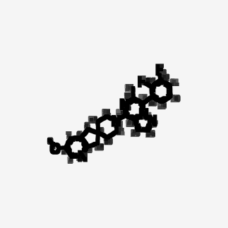 COc1cnc2c(c1)CC1(CCN(c3nc(C)c(-c4cccc(F)c4F)n4nccc34)CC1)C2